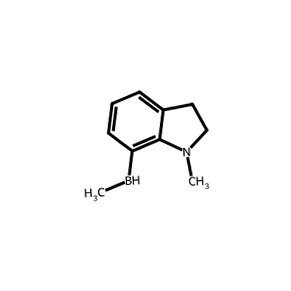 CBc1cccc2c1N(C)CC2